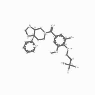 COc1cc(C(=O)N2CC[C@]3(c4ccccn4)OCOC3C2)cc(F)c1OCCC(F)(F)F